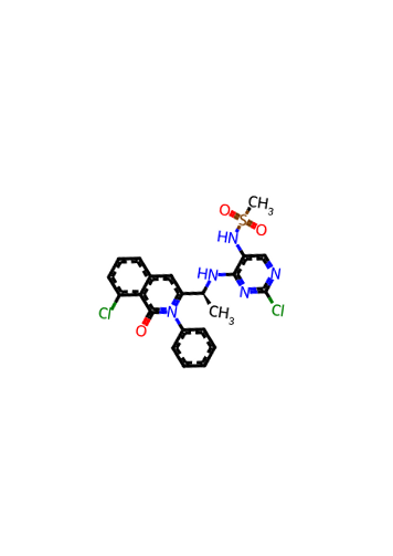 C[C@H](Nc1nc(Cl)ncc1NS(C)(=O)=O)c1cc2cccc(Cl)c2c(=O)n1-c1ccccc1